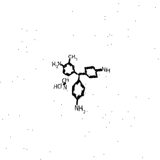 C#N.Cc1cc(C(=C2C=CC(=N)C=C2)c2ccc(N)cc2)ccc1N.Cl